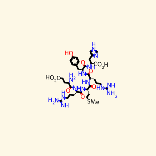 CSCC[C@H](NC(=O)[C@H](CCCNC(=N)N)NC(=O)[C@@H](N)CCC(=O)O)C(=O)N[C@@H](CCCNC(=N)N)C(=O)N[C@@H](Cc1ccc(O)cc1)C(=O)N[C@@H](Cc1c[nH]cn1)C(=O)O